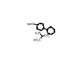 CC(N)C(=O)O.COc1ccc(-c2ccccc2)cc1